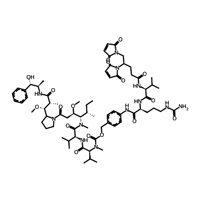 CC[C@H](C)[C@@H]([C@@H](CC(=O)N1CCCC1[C@H](OC)[C@@H](C)C(=O)N[C@H](C)[C@@H](O)c1ccccc1)OC)N(C)C(=O)[C@@H](NC(=O)[C@H](C(C)C)N(C)C(=O)OCc1ccc(NC(=O)[C@H](CCCNC(N)=O)NC(=O)[C@@H](NC(=O)CCC(CN2C(=O)C=CC2=O)N2C(=O)C=CC2=O)C(C)C)cc1)C(C)C